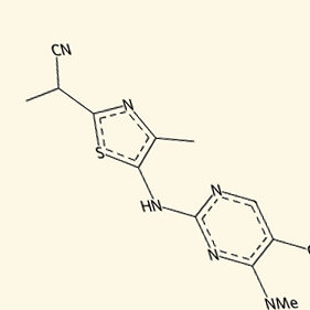 CNc1nc(Nc2sc(C(C)C#N)nc2C)ncc1C(F)(F)F